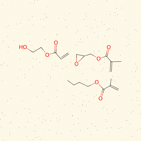 C=C(C)C(=O)OCC1CO1.C=C(C)C(=O)OCCCC.C=CC(=O)OCCO